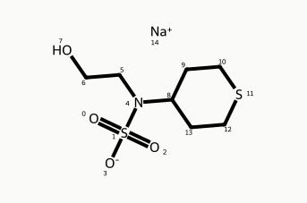 O=S(=O)([O-])N(CCO)C1CCSCC1.[Na+]